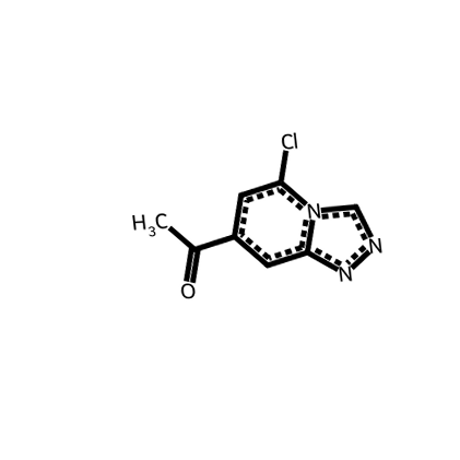 CC(=O)c1cc(Cl)n2cnnc2c1